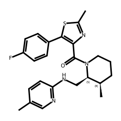 Cc1ccc(NC[C@@H]2[C@H](C)CCCN2C(=O)c2nc(C)sc2-c2ccc(F)cc2)nc1